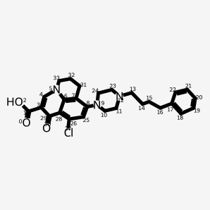 O=C(O)c1cn2c3c(c(N4CCN(CCCCc5ccccc5)CC4)cc(Cl)c3c1=O)CCC2